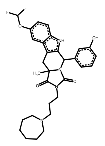 CC12Cc3c([nH]c4ccc(OC(F)F)cc34)C(c3cccc(O)c3)N1C(=O)N(CCCN1CCCCCC1)C2=O